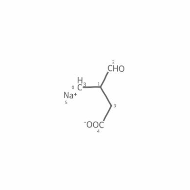 CC(C=O)CC(=O)[O-].[Na+]